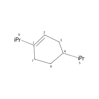 CC(C)C1=CCC(C(C)C)CC1